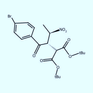 C[C@H]([C@@H](C(=O)c1ccc(Br)cc1)C(C(=O)OC(C)(C)C)C(=O)OC(C)(C)C)[N+](=O)[O-]